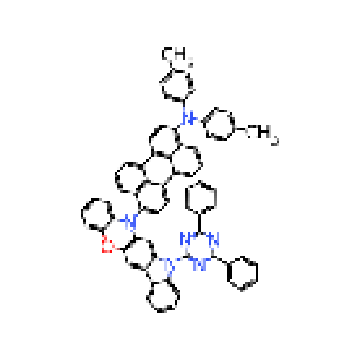 Cc1ccc(N(c2ccc(C)cc2)c2ccc3c4cccc5c(N6c7ccccc7Oc7cc8c9ccccc9n(-c9nc(-c%10ccccc%10)nc(-c%10ccccc%10)n9)c8cc76)ccc(c6cccc2c36)c54)cc1